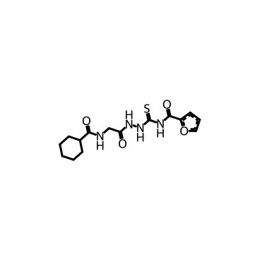 O=C(CNC(=O)C1CCCCC1)NNC(=S)NC(=O)c1ccco1